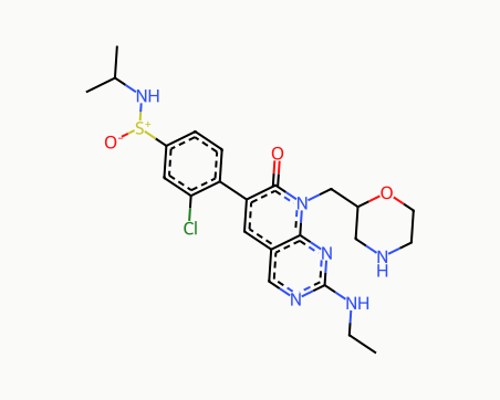 CCNc1ncc2cc(-c3ccc([S+]([O-])NC(C)C)cc3Cl)c(=O)n(CC3CNCCO3)c2n1